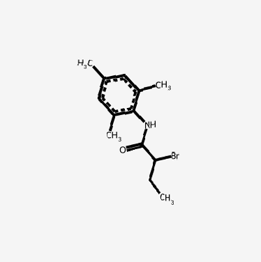 CCC(Br)C(=O)Nc1c(C)cc(C)cc1C